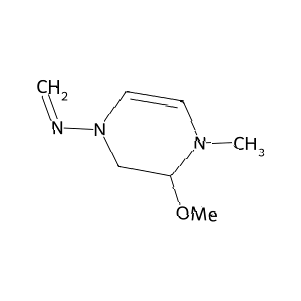 C=NN1C=CN(C)C(OC)C1